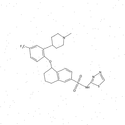 CN1CCC(c2cc(C(F)(F)F)ccc2OC2CCCc3cc(S(=O)(=O)Nc4nncs4)ccc32)CC1